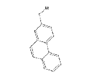 CCSc1ccc2c(ccc3ccccc32)c1